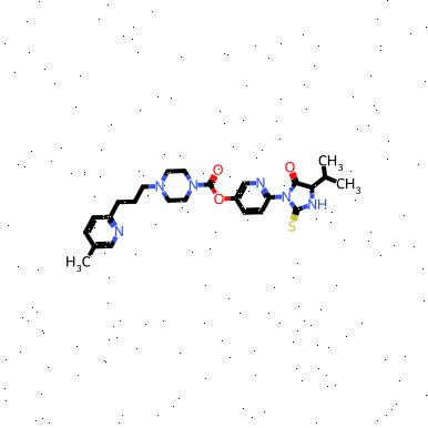 Cc1ccc(CCCN2CCN(C(=O)Oc3ccc(N4C(=O)C(C(C)C)NC4=S)nc3)CC2)nc1